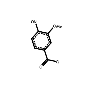 COc1cc(C(=O)Cl)ccc1N=O